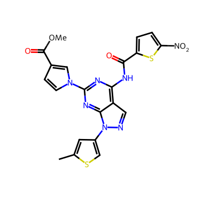 COC(=O)c1ccn(-c2nc(NC(=O)c3ccc([N+](=O)[O-])s3)c3cnn(-c4csc(C)c4)c3n2)c1